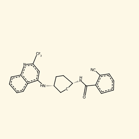 N#Cc1ccccc1C(=O)N[C@H]1CC[C@@H](Nc2cc(C(F)(F)F)nc3ccccc23)CC1